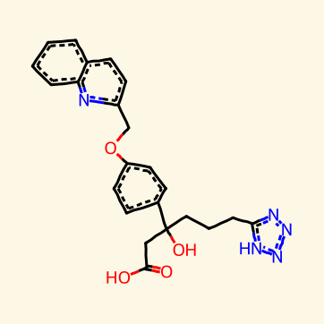 O=C(O)CC(O)(CCCc1nnn[nH]1)c1ccc(OCc2ccc3ccccc3n2)cc1